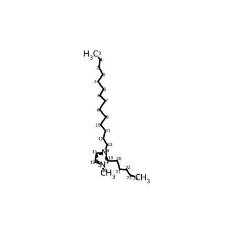 CCCCCCCCCCCCCCn1cc[n+](C)c1CCCCC